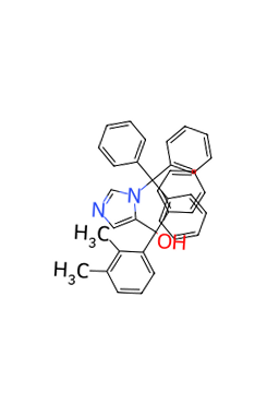 Cc1cccc(C(O)(c2ccccc2)c2cncn2C(c2ccccc2)(c2ccccc2)c2ccccc2)c1C